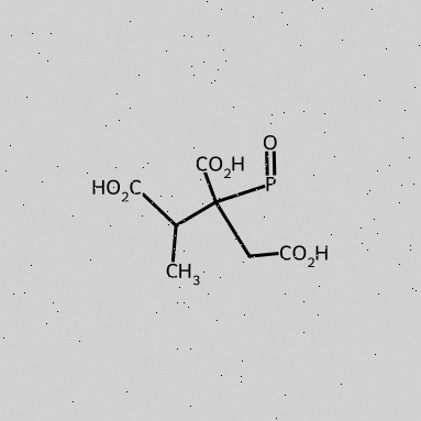 CC(C(=O)O)C(CC(=O)O)(P=O)C(=O)O